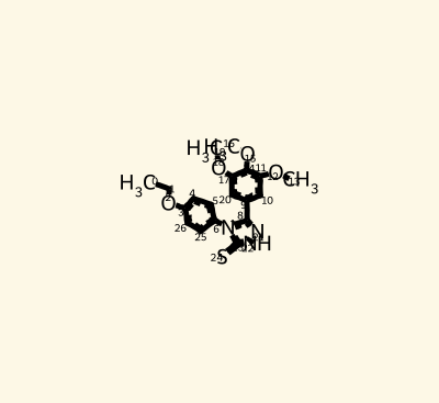 CCOc1ccc(-n2c(-c3cc(OC)c(OC)c(OC)c3)n[nH]c2=S)cc1